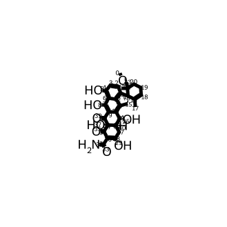 COc1cc(O)c2c(O)c3c(c4c2c1[C@]1(C4)C(C)=CCCC1(C)C)[C@H](O)[C@H]1CC(O)=C(C(N)=O)C(=O)[C@@]1(O)C3=O